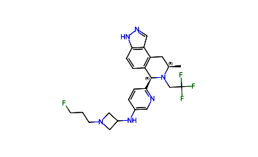 C[C@@H]1Cc2c(ccc3[nH]ncc23)[C@H](c2ccc(NC3CN(CCCF)C3)cn2)N1CC(F)(F)F